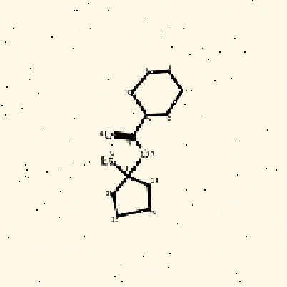 CCC1(OC(=O)C2CCCCC2)CCCC1